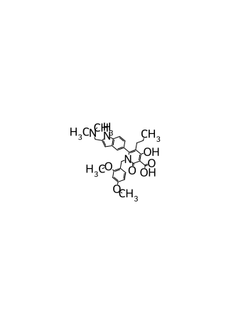 CCCc1c(O)c(C(=O)O)c(=O)n(Cc2ccc(OC)cc2OC)c1-c1ccc2[nH]c(CN(C)C)cc2c1